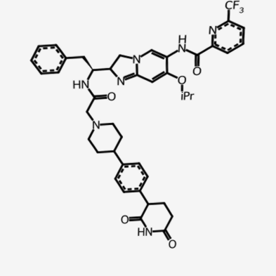 CC(C)OC1=CC2=NC([C@H](Cc3ccccc3)NC(=O)CN3CCC(c4ccc(C5CCC(=O)NC5=O)cc4)CC3)CN2C=C1NC(=O)c1cccc(C(F)(F)F)n1